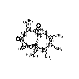 C[C@@H]1NC(=O)[C@@H]2CSS[C@H](NC(=O)[C@H](CCCNC(=N)N)NC(=O)[C@H](CCCCN)NC(=O)[C@H](CCCCN)NC(=O)[C@H](CCCCN)NC1=O)C(=O)N1CCC[C@H]1C(=O)N[C@@H](Cc1c[nH]cn1)C(=O)N[C@H](Cc1ccccc1)C(=O)N[C@@H](CCCNC(N)=O)C(=O)N[C@@H](Cc1c[nH]c3ccccc13)C(=O)N2